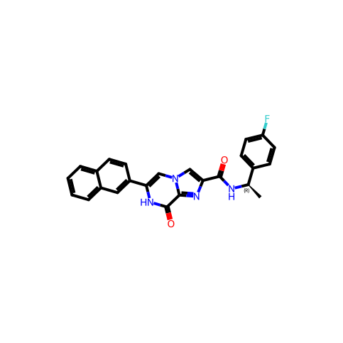 C[C@@H](NC(=O)c1cn2cc(-c3ccc4ccccc4c3)[nH]c(=O)c2n1)c1ccc(F)cc1